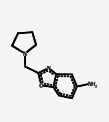 Nc1ccc2oc(CN3CCCC3)nc2c1